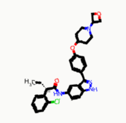 CC[C@H](C(=O)Nc1ccc2[nH]nc(-c3ccc(OC4CCN(C5COC5)CC4)cc3)c2c1)c1ccccc1Cl